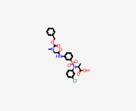 CC(C(=O)O)N(c1cccc(Cl)c1)S(=O)(=O)c1cccc(NC(=O)CN(C)C(=O)OCc2ccccc2)c1